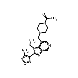 CCn1c(-c2nonc2N)nc2cncc(CN3CCN(C(C)=O)CC3)c21